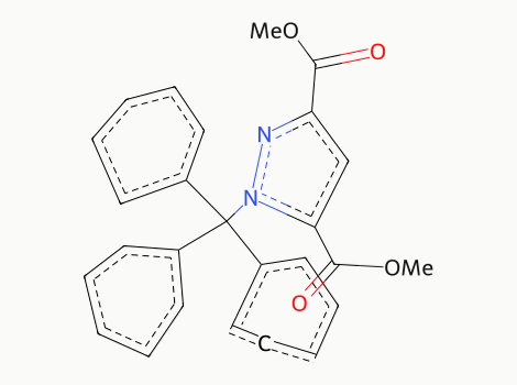 COC(=O)c1cc(C(=O)OC)n(C(c2ccccc2)(c2ccccc2)c2ccccc2)n1